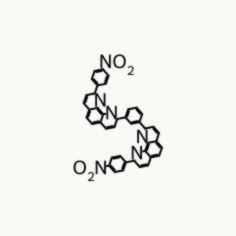 O=[N+]([O-])c1ccc(-c2ccc3ccc4ccc(-c5cccc(-c6ccc7ccc8ccc(-c9ccc([N+](=O)[O-])cc9)nc8c7n6)c5)nc4c3n2)cc1